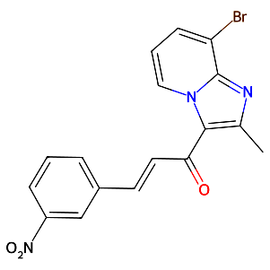 Cc1nc2c(Br)cccn2c1C(=O)/C=C/c1cccc([N+](=O)[O-])c1